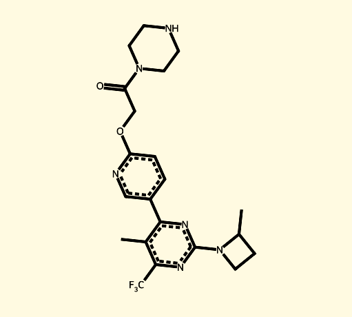 Cc1c(-c2ccc(OCC(=O)N3CCNCC3)nc2)nc(N2CCC2C)nc1C(F)(F)F